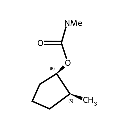 CNC(=O)O[C@@H]1CCC[C@@H]1C